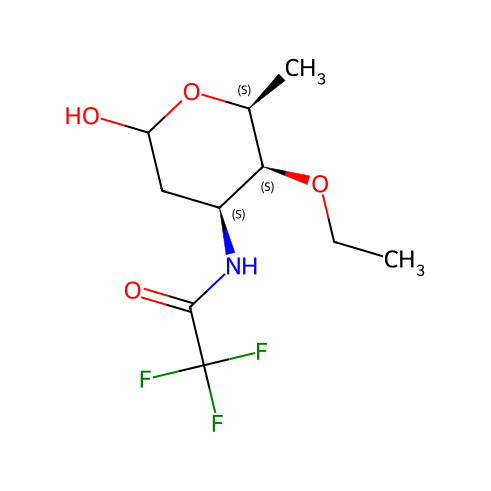 CCO[C@H]1[C@@H](NC(=O)C(F)(F)F)CC(O)O[C@H]1C